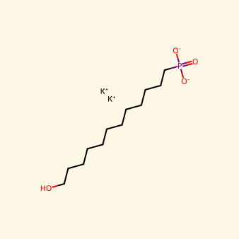 O=P([O-])([O-])CCCCCCCCCCCCO.[K+].[K+]